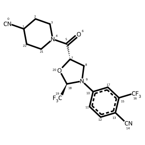 [C-]#[N+]C1CCN(C(=O)[C@@H]2CN(c3ccc(C#N)c(C(F)(F)F)c3)[C@@H](C(F)(F)F)O2)CC1